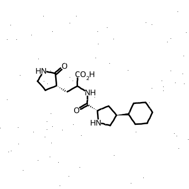 O=C(O)C(C[C@@H]1CCNC1=O)NC(=O)[C@@H]1C[C@@H](C2CCCCC2)CN1